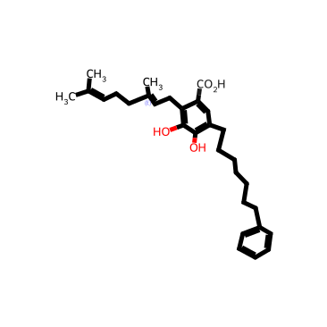 CC(C)=CCC/C(C)=C/Cc1c(C(=O)O)cc(CCCCCCCc2ccccc2)c(O)c1O